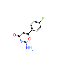 Nc1nc(=O)cc(-c2ccc(F)cc2)o1